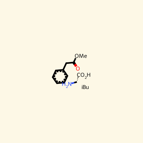 CC[C@H](C)[C@H](N)C(=O)O.COC(=O)Cc1ccccc1